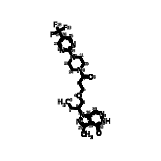 CCC(COCCC(=O)N1CCN(c2ncc(C(F)(F)F)cn2)CC1)n1nc(C)c2c(=O)[nH]ncc21